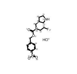 Cl.O=C(OCc1ccc([N+](=O)[O-])cc1)N(CCF)C[C@H]1CCNC1